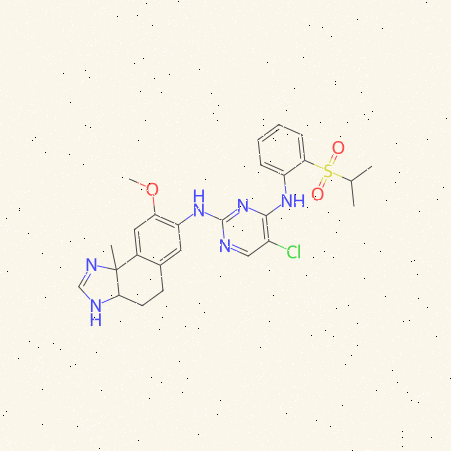 COc1cc2c(cc1Nc1ncc(Cl)c(Nc3ccccc3S(=O)(=O)C(C)C)n1)CCC1NC=NC21C